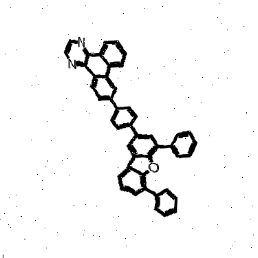 c1ccc(-c2cccc3c2oc2c(-c4ccccc4)cc(-c4ccc(-c5ccc6c(c5)c5ccccc5c5nccnc65)cc4)cc23)cc1